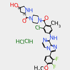 COc1ccc(-c2cnc3c(Nc4cc(C)c(C(=O)N5CCN(C(=O)[C@@H]6C[C@@H](O)CN6)CC5)c(Cl)c4)nccn23)c(F)c1F.Cl.Cl